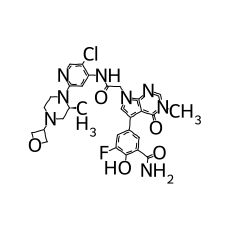 C[C@H]1CN(C2COC2)CCN1c1cc(NC(=O)Cn2cc(-c3cc(F)c(O)c(C(N)=O)c3)c3c(=O)n(C)cnc32)c(Cl)cn1